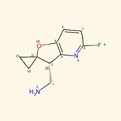 NC[C@H]1c2nc(F)ccc2OC12CC2